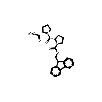 COC(=O)[C@@H]1CCCN1C(=O)[C@@H]1CCCN1C(=O)OCC1c2ccccc2-c2ccccc21